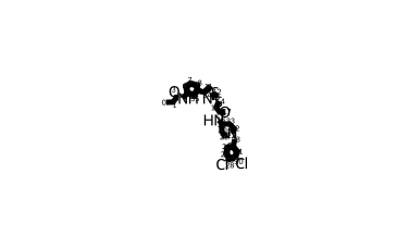 CCC(=O)Nc1cccc(-c2csc(SCC(=O)NC3CCN(Cc4ccc(Cl)c(Cl)c4)CC3)n2)c1